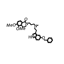 COc1ccc2c(c1OC)CCN(CCCN(C)CCc1c[nH]c3ccc(OCc4ccccc4)cc13)C2=O